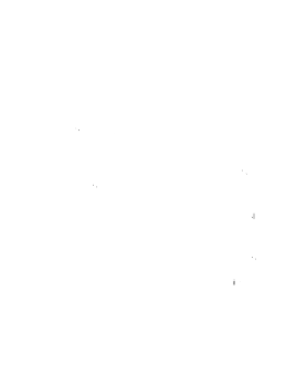 Cc1c(-c2cc3cc(NC(=O)NC(C)C)ncc3c(Cl)c2F)cnc2c1N(C(=O)O)CCO2